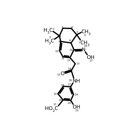 CC1(C)CCC(C)(C)C2C1=CC=C(CC(=O)Nc1ccc(C(=O)O)c(O)c1)C2=NO